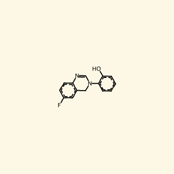 Oc1ccccc1N1C=Nc2ccc(F)cc2C1